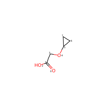 O=C(O)COC1CC1